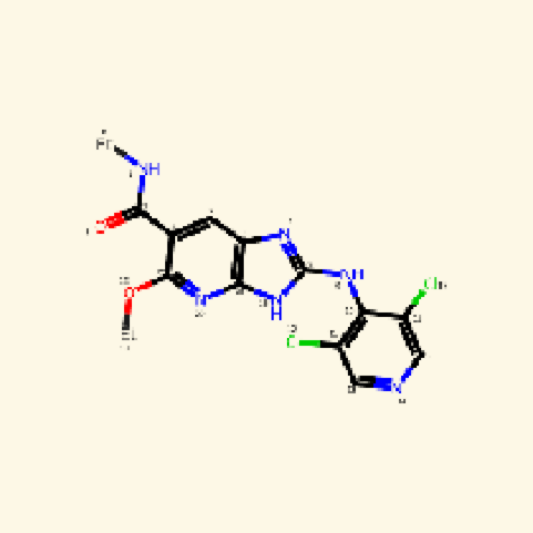 CCNC(=O)c1cc2nc(Nc3c(Cl)cncc3Cl)[nH]c2nc1OCC